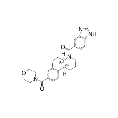 O=C(c1ccc2c(c1)CC[C@@H]1[C@H]2CCCN1C(=O)c1ccc2[nH]cnc2c1)N1CCOCC1